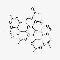 CC(=O)OC[C@H]1O[C@H](O[C@@H]2[C@H](OC(C)=O)[C@@H](OC(C)=O)[C@@H](OC(C)=O)O[C@@H]2COC(C)=O)[C@H](OC(C)=O)[C@@H](OC(C)=O)[C@H]1OC(C)=O